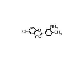 Cc1ccc(C(=O)Oc2ccc(Cl)cc2Cl)cc1N